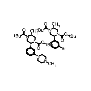 C[C@@H]1CN(C(=O)OC(C)(C)C)[C@@H](c2cccc(Br)c2)CN1C(=O)C(C)(C)C.C[C@@H]1CN(C(=O)OC(C)(C)C)[C@@H](c2cccc(N3CCN(C)CC3)c2)CN1C(=O)C(C)(C)C